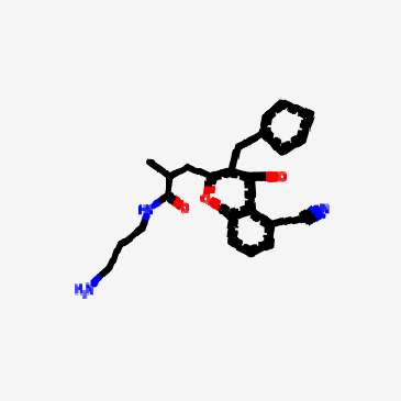 CC([CH]c1oc2cccc(C#N)c2c(=O)c1Cc1ccccc1)C(=O)NCCCN